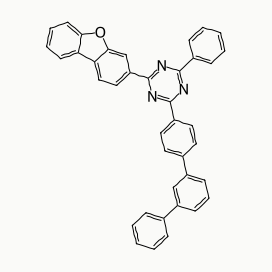 c1ccc(-c2cccc(-c3ccc(-c4nc(-c5ccccc5)nc(-c5ccc6c(c5)oc5ccccc56)n4)cc3)c2)cc1